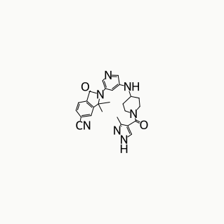 Cc1n[nH]cc1C(=O)N1CCC(Nc2cncc(N3C(=O)c4ccc(C#N)cc4C3(C)C)c2)CC1